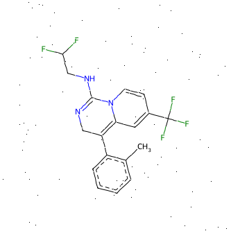 Cc1ccccc1C1=C2C=C(C(F)(F)F)C=CN2C(NCC(F)F)=NC1